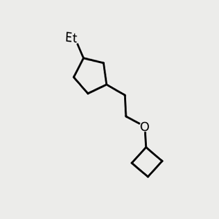 CCC1CCC(CCOC2CCC2)C1